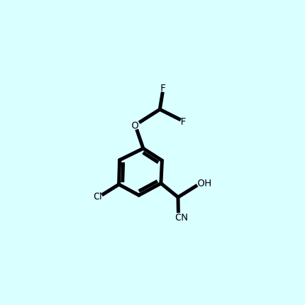 N#CC(O)c1cc(Cl)cc(OC(F)F)c1